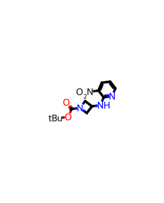 CC(C)(C)OC(=O)N1CC(Nc2ncccc2[N+](=O)[O-])C1